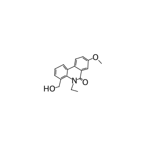 CCn1c(=O)c2cc(OC)ccc2c2cccc(CO)c21